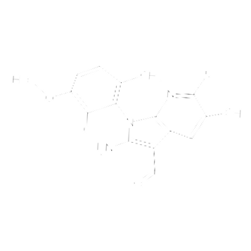 COc1ccc(C)c(-n2c(N)c(C=O)c3cc(C)c(C)nc32)c1C